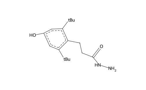 CC(C)(C)c1cc(O)cc(C(C)(C)C)c1CCC(=O)NN